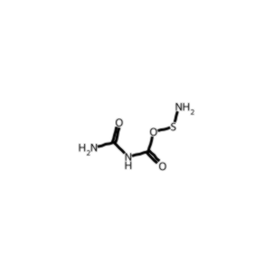 NSOC(=O)NC(N)=O